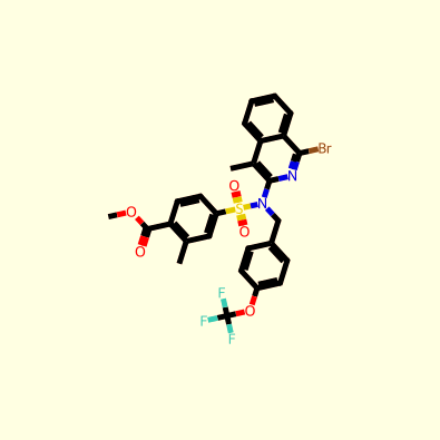 COC(=O)c1ccc(S(=O)(=O)N(Cc2ccc(OC(F)(F)F)cc2)c2nc(Br)c3ccccc3c2C)cc1C